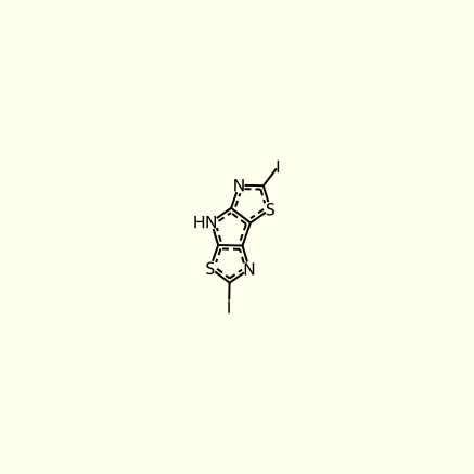 Ic1nc2c([nH]c3nc(I)sc32)s1